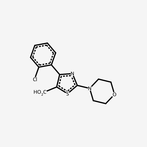 O=C(O)c1sc(N2CCOCC2)nc1-c1ccccc1Cl